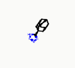 C1C2CC3CC1CC(c1nnn[nH]1)(C2)C3